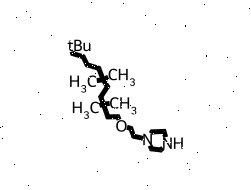 CC(C)(C)CCCCC(C)(C)CCC(C)(C)CCOCCN1CCNCC1